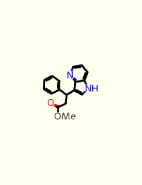 COC(=O)CC(c1ccccc1)c1c[nH]c2cccnc12